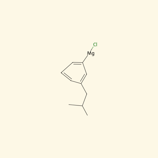 CC(C)Cc1ccc[c]([Mg][Cl])c1